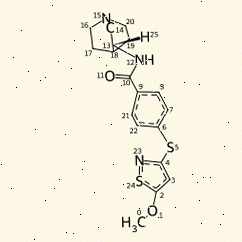 COc1cc(Sc2ccc(C(=O)N[C@H]3CN4CCC3CC4)cc2)ns1